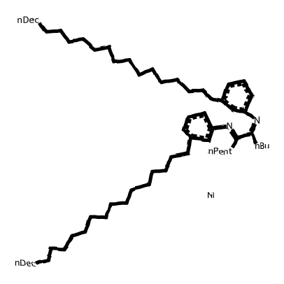 CCCCCCCCCCCCCCCCCCCCCCCCCc1cccc(N=C(CCCC)C(CCCCC)=Nc2cccc(CCCCCCCCCCCCCCCCCCCCCCCCC)c2)c1.[Ni]